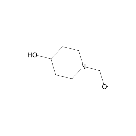 [O]CN1CCC(O)CC1